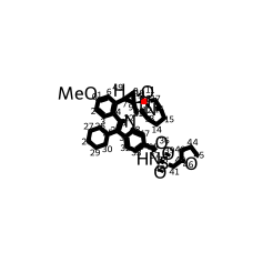 COc1ccc2c(c1)[C@@H]1C[C@]1(C(=O)N1C3CCC1CN(C)C3)Cn1c-2c(C2CCCCC2)c2ccc(C(=O)NS(=O)(=O)CC3CCCO3)cc21